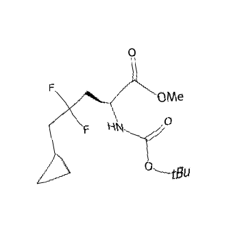 COC(=O)[C@H](CC(F)(F)CC1CC1)NC(=O)OC(C)(C)C